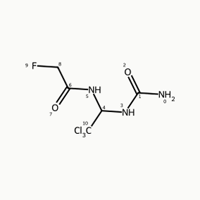 NC(=O)NC(NC(=O)CF)C(Cl)(Cl)Cl